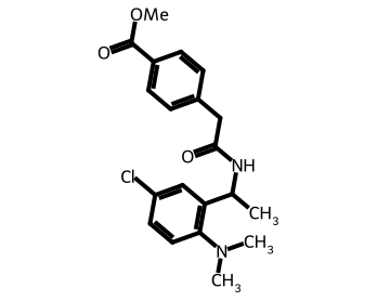 COC(=O)c1ccc(CC(=O)NC(C)c2cc(Cl)ccc2N(C)C)cc1